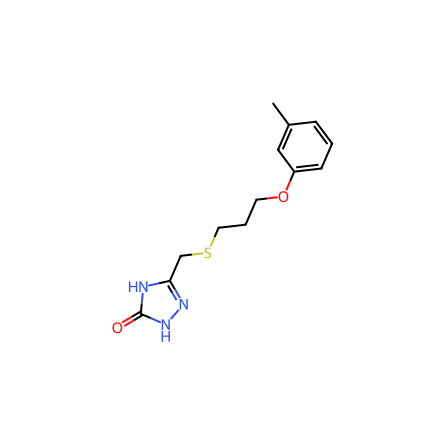 Cc1cccc(OCCCSCc2n[nH]c(=O)[nH]2)c1